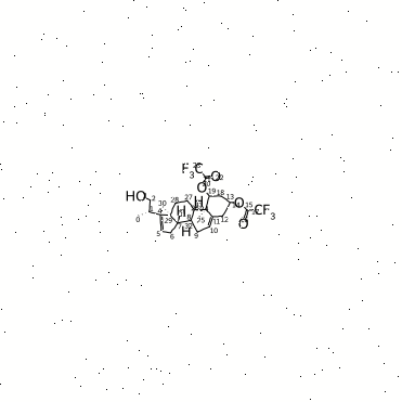 C[C@H](CO)C1=CC[C@H]2[C@@H]3CC=C4CC(OC(=O)C(F)(F)F)CC(OC(=O)C(F)(F)F)[C@]4(C)[C@H]3CC[C@]12C